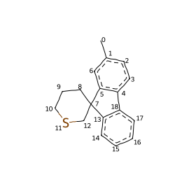 Cc1ccc2c(c1)C1(CCCSC1)c1ccccc1-2